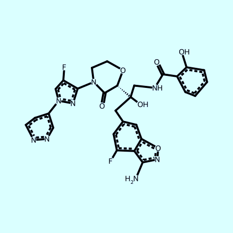 Nc1noc2cc(CC(O)(CNC(=O)c3ccccc3O)[C@H]3OCCN(c4nn(-c5ccnnc5)cc4F)C3=O)cc(F)c12